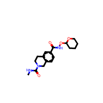 CNC(=O)N1CCc2cc(C(=O)NOC3CCCCO3)ccc2C1